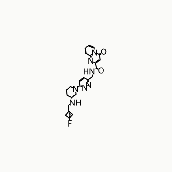 O=C(NCc1ccc(N2CCC[C@@H](NCC34CC(F)(C3)C4)C2)nn1)c1cc(=O)n2ccccc2n1